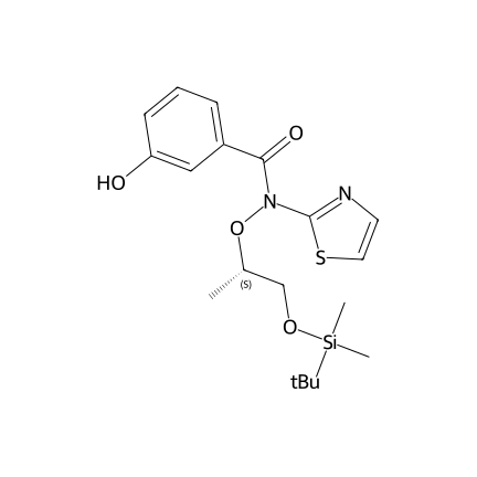 C[C@@H](CO[Si](C)(C)C(C)(C)C)ON(C(=O)c1cccc(O)c1)c1nccs1